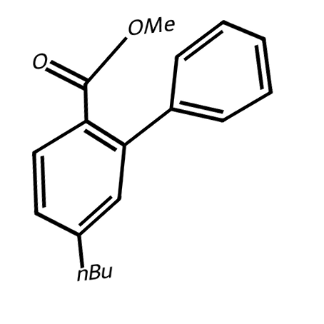 CCCCc1ccc(C(=O)OC)c(-c2ccccc2)c1